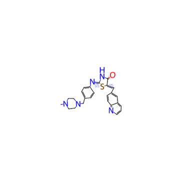 CN1CCN(Cc2ccc(/N=C3/NC(=O)/C(=C/c4ccc5ncccc5c4)S3)cc2)CC1